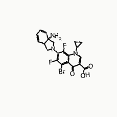 NC12C=CC=CC1CN(c1c(F)c(Br)c3c(=O)c(C(=O)O)cn(C4CC4)c3c1F)C2